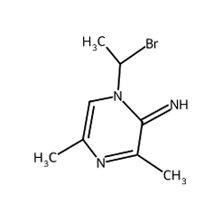 Cc1cn(C(C)Br)c(=N)c(C)n1